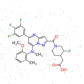 COc1cccc(C)c1N(C)c1cc(-c2cc(F)c(F)c(F)c2)nc2cc(C(=O)N3CCC(CC(=O)O)C(F)C3)nn12